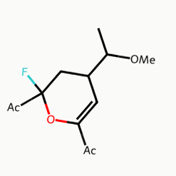 COC(C)C1C=C(C(C)=O)OC(F)(C(C)=O)C1